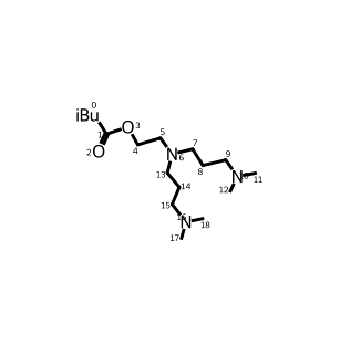 CCC(C)C(=O)OCCN(CCCN(C)C)CCCN(C)C